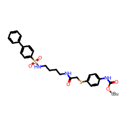 CC(C)(C)OC(=O)Nc1ccc(SCC(=O)NCCCCNS(=O)(=O)c2ccc(-c3ccccc3)cc2)cc1